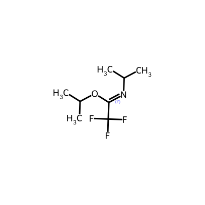 CC(C)/N=C(\OC(C)C)C(F)(F)F